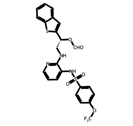 O=CO[C@H](CNc1ncccc1NS(=O)(=O)c1ccc(OC(F)(F)F)cc1)c1cc2ccccc2s1